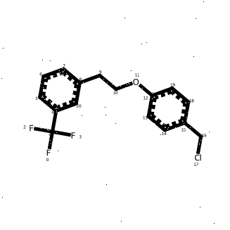 FC(F)(F)c1cccc(CCOc2ccc(CCl)cc2)c1